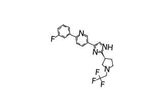 Fc1cccc(-c2ccc(-c3c[nH]c([C@H]4CCN(CC(F)(F)F)C4)n3)cn2)c1